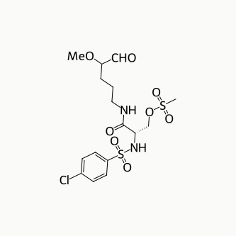 COC(C=O)CCCNC(=O)[C@H](COS(C)(=O)=O)NS(=O)(=O)c1ccc(Cl)cc1